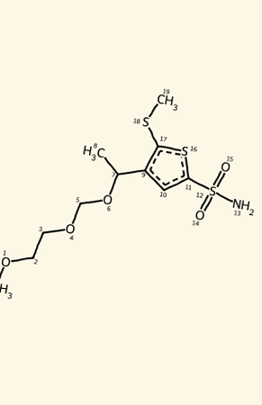 COCCOCOC(C)c1cc(S(N)(=O)=O)sc1SC